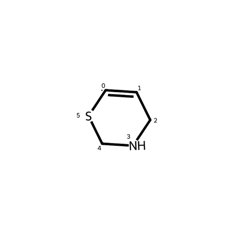 [C]1=CCNCS1